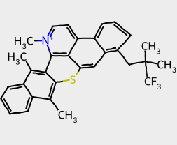 Cc1c2c(c(C)c3ccccc13)-c1c3c(cc4c(CC(C)(C)C(F)(F)F)cccc4c3cc[n+]1C)S2